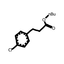 CCCCOC(=O)CCc1ccc(Cl)cc1